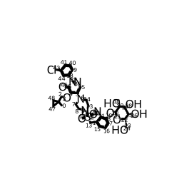 CC1(COc2c(N3CCN(S(=O)(=O)Cc4cccc(OC5O[C@H](CO)[C@H](O)[C@H](O)[C@H]5O)c4N)CC3)cnn(-c3cccc(Cl)c3)c2=O)CC1